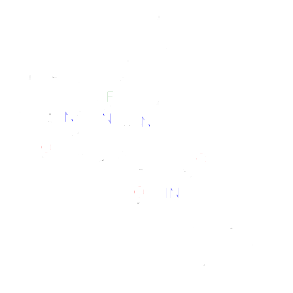 C=CCC(CC)CCNC(=O)c1cn(-c2ccc(F)cc2F)c2nc(N3CCCCC3=O)ccc2c1=O